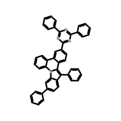 c1ccc(-c2ccc3c(-c4ccccc4)c4c5ccc(-c6nc(-c7ccccc7)nc(-c7ccccc7)n6)cc5c5ccccc5n4c3c2)cc1